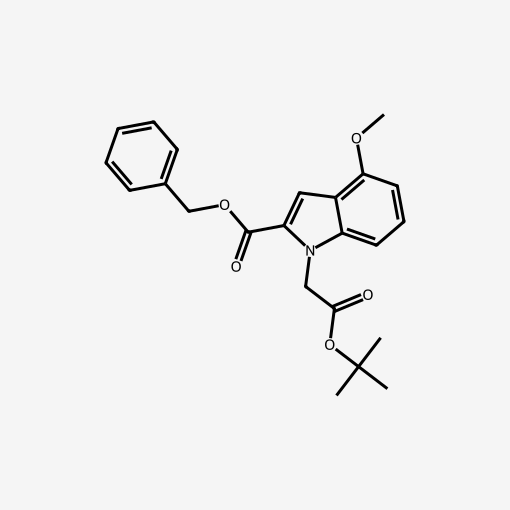 COc1cccc2c1cc(C(=O)OCc1ccccc1)n2CC(=O)OC(C)(C)C